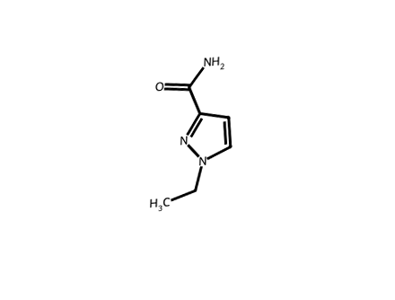 CCn1ccc(C(N)=O)n1